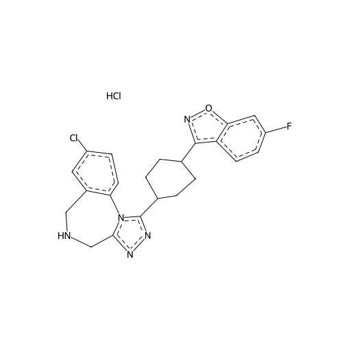 Cl.Fc1ccc2c(C3CCC(c4nnc5n4-c4ccc(Cl)cc4CNC5)CC3)noc2c1